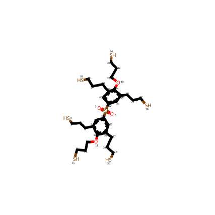 O=S(=O)(c1cc(CCCS)c(OCCCS)c(CCCS)c1)c1cc(CCCS)c(OCCCS)c(CCCS)c1